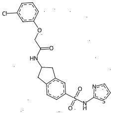 O=C(COc1cccc(Cl)c1)NC1Cc2ccc(S(=O)(=O)Nc3nccs3)cc2C1